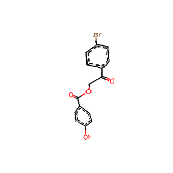 O=C(COC(=O)c1ccc(O)cc1)c1ccc(Br)cc1